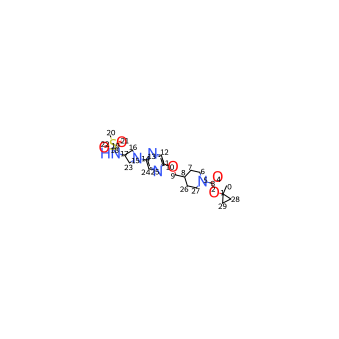 CC1(OC(=O)N2CCC(COc3cnc(N4CC(NS(C)(=O)=O)C4)cn3)CC2)CC1